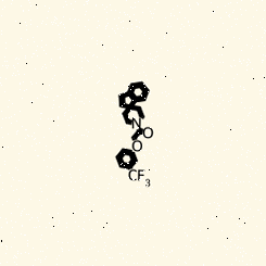 O=C(COc1cccc(C(F)(F)F)c1)N1CCC2(C=Cc3ccccc32)CC1